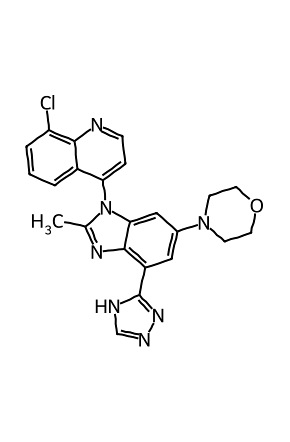 Cc1nc2c(-c3nnc[nH]3)cc(N3CCOCC3)cc2n1-c1ccnc2c(Cl)cccc12